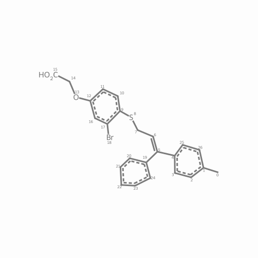 Cc1ccc(C(=CCSc2ccc(OCC(=O)O)cc2Br)c2ccccc2)cc1